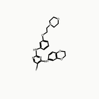 Fc1cnc(Nc2cccc(OCCN3CCOCC3)c2)nc1Nc1ccc2c(c1)OCCO2